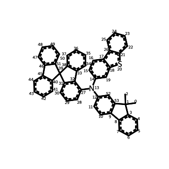 CC1(C)c2ccccc2-c2ccc(N(c3ccc4c(c3)sc3ccccc34)c3cccc4c3-c3ccccc3C43c4ccccc4-c4ccccc43)cc21